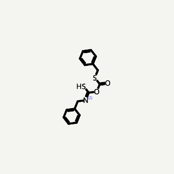 O=C(O/C(S)=N/Cc1ccccc1)SCc1ccccc1